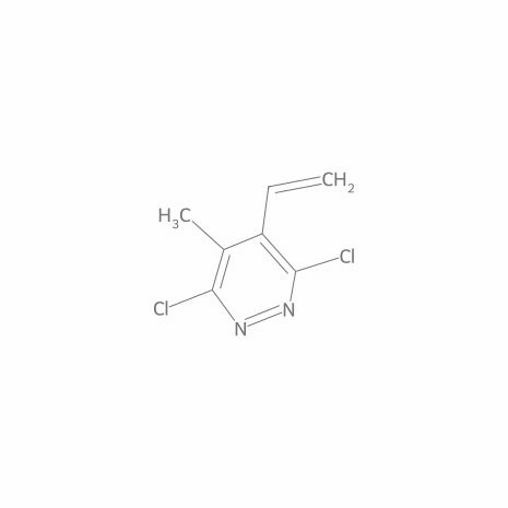 C=Cc1c(Cl)nnc(Cl)c1C